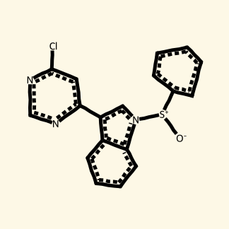 [O-][S+](c1ccccc1)n1cc(-c2cc(Cl)ncn2)c2ccccc21